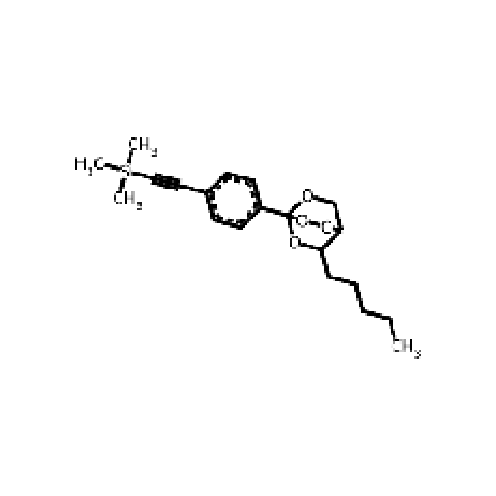 CCCCCC1OC2(c3ccc(C#C[Si](C)(C)C)cc3)OCC1CO2